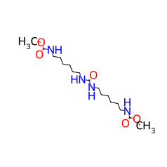 COC(=O)NCCCCCCNC(=O)NCCCCCCNC(=O)OC